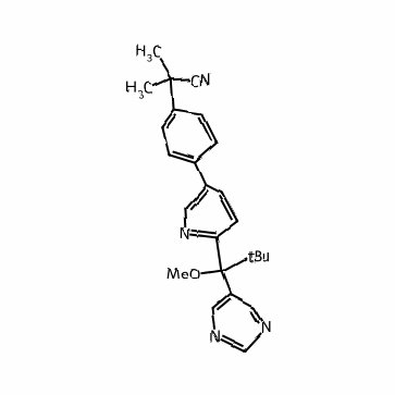 COC(c1cncnc1)(c1ccc(-c2ccc(C(C)(C)C#N)cc2)cn1)C(C)(C)C